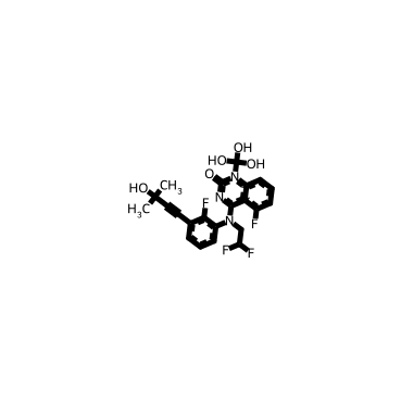 CC(C)(O)C#Cc1cccc(N(CC(F)F)c2nc(=O)n(C(O)(O)O)c3cccc(F)c23)c1F